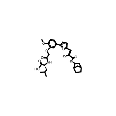 COc1ccc(-c2ccc(/C=C(\S)C(=O)NC3CC4CCC3C4)o2)cc1OCC(=O)N[C@@H](CC(C)C)C(=O)O